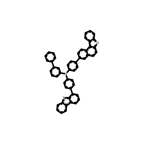 c1ccc(-c2cccc(N(c3ccc(-c4ccc5c(ccc6oc7ccccc7c65)c4)cc3)c3ccc(-c4cccc5c4sc4ccccc45)cc3)c2)cc1